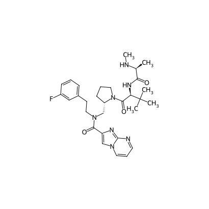 CN[C@@H](C)C(=O)N[C@H](C(=O)N1CCC[C@H]1CN(CCc1cccc(F)c1)C(=O)c1cn2cccnc2n1)C(C)(C)C